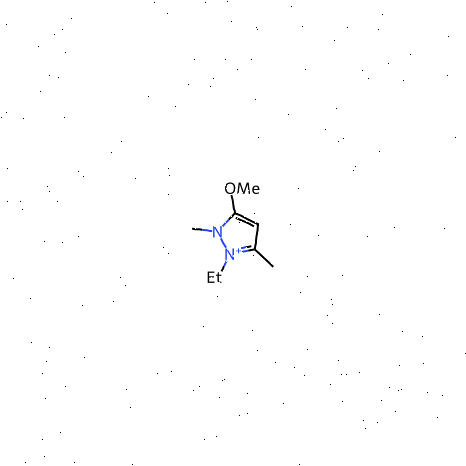 CC[n+]1c(C)cc(OC)n1C